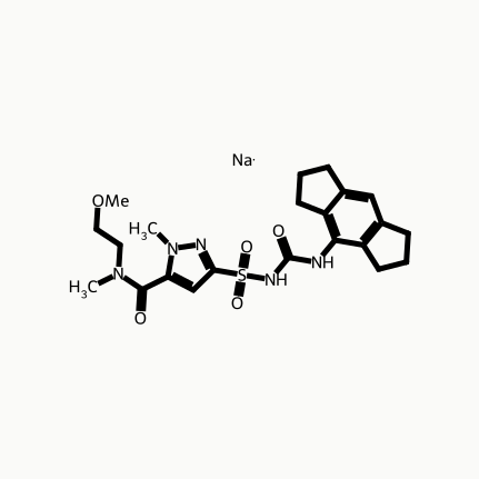 COCCN(C)C(=O)c1cc(S(=O)(=O)NC(=O)Nc2c3c(cc4c2CCC4)CCC3)nn1C.[Na]